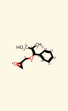 CC(C(=O)O)=C(OCC1CO1)c1ccccc1